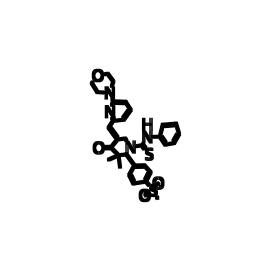 CC1(C)C(=O)C(=Cc2cccc(N3CCOCC3)n2)CN(C(=S)Nc2ccccc2)C1c1ccc(S(C)(=O)=O)cc1